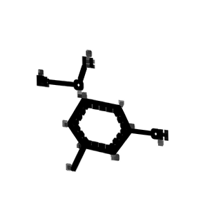 CCOCC.Cc1cccc(O)c1